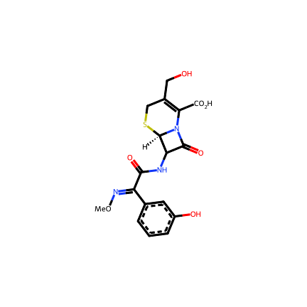 CO/N=C(/C(=O)NC1C(=O)N2C(C(=O)O)=C(CO)CS[C@H]12)c1cccc(O)c1